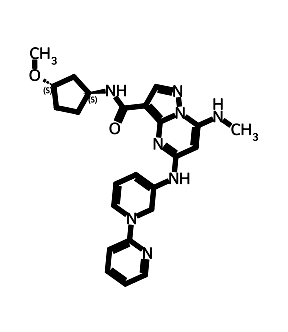 CNc1cc(NC2=CC=CN(c3ccccn3)C2)nc2c(C(=O)N[C@H]3CC[C@H](OC)C3)cnn12